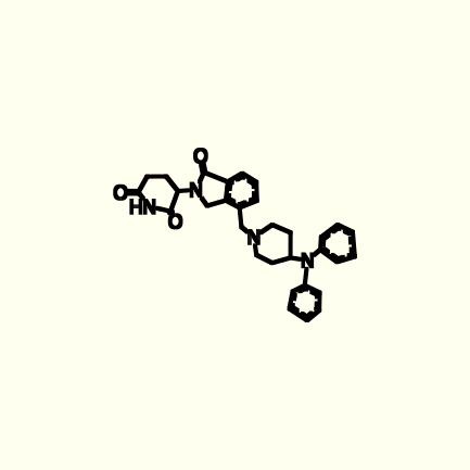 O=C1CCC(N2Cc3c(CN4CCC(N(c5ccccc5)c5ccccc5)CC4)cccc3C2=O)C(=O)N1